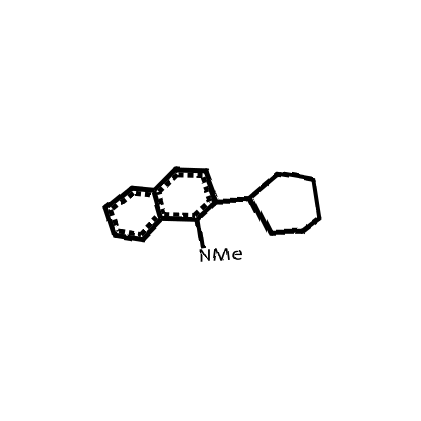 CNc1c(C2CCCCC2)ccc2ccccc12